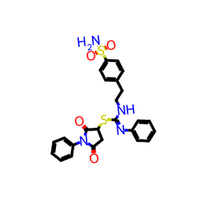 NS(=O)(=O)c1ccc(CCN/C(=N\c2ccccc2)SC2CC(=O)N(c3ccccc3)C2=O)cc1